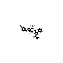 COc1ccc(CN2CCC3(CCN(CC4CN(C(=O)C5CC5)CC4c4ccccc4)CC3)C2=O)cc1.Cl